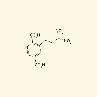 O=C(O)c1cnc(C(=O)O)c(CCC([N+](=O)[O-])[N+](=O)[O-])c1